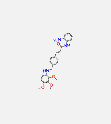 COc1ccc(NCc2ccc(/C=C/C(=O)Nc3ccccc3N)cc2)c(OC)c1OC